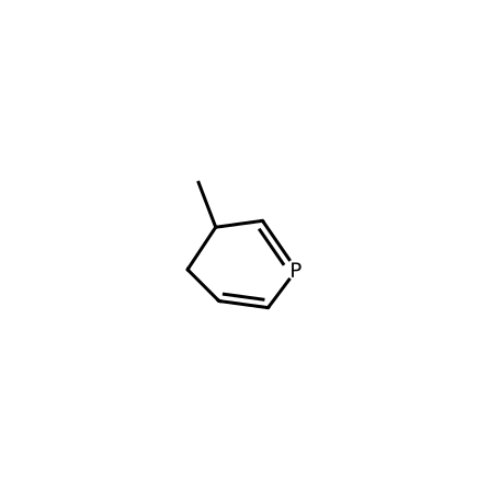 CC1C=PC=CC1